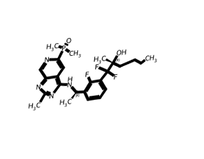 CCCC[C@@](C)(O)C(F)(F)c1cccc([C@@H](C)Nc2nc(C)nc3cnc(P(C)(C)=O)cc23)c1F